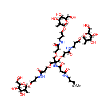 COCCCNC(=O)CC(=O)NC(COCCC(=O)NCCCO[C@@H]1OC(CO)[C@H](O)[C@H](O)C1C)(COCCC(=O)NCCCO[C@@H]1OC(CO)[C@H](O)[C@H](O)C1C)COCCC(=O)NCCCO[C@@H]1OC(CO)[C@H](O)[C@H](O)C1C